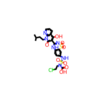 CC(C)CCn1c(=O)c(C2=NS(=O)(=O)c3cc(NS(=O)(=O)N(CCCl)C(=O)O)ccc3N2)c(O)c2cccnc21